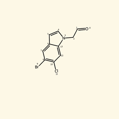 O=[C]Cn1ccc2cc(Br)c(Cl)cc21